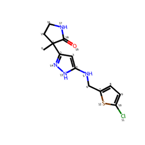 CC1(c2cc(NCc3ccc(Cl)s3)[nH]n2)CCNC1=O